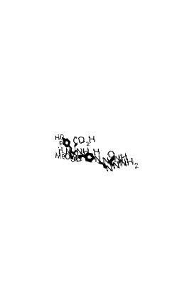 COC(=O)[C@@](N)(Cc1ccc(O)c(F)c1)C(=O)[C@H](CCC(=O)O)NC(=O)c1ccc(NCc2cnc3nc(N)[nH]c(=O)c3n2)cc1